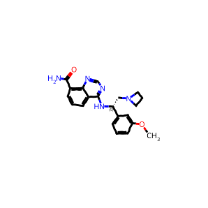 COc1cccc([C@@H](CN2CCC2)Nc2ncnc3c(C(N)=O)cccc23)c1